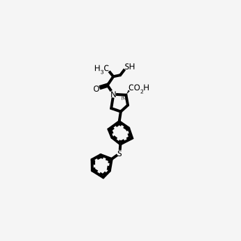 CC(CS)C(=O)N1CC(c2ccc(Sc3ccccc3)cc2)C[C@H]1C(=O)O